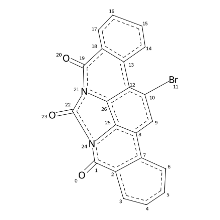 O=c1c2ccccc2c2cc(Br)c3c4ccccc4c(=O)n4c(=O)n1c2c34